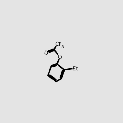 CCc1ccccc1OC(=O)C(F)(F)F